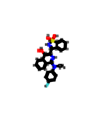 CN(c1ccc(F)cc1)c1nc(C2=NS(=O)(=O)c3ccccc32)c(O)c2ccccc12